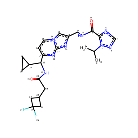 CC(C)n1ncnc1C(=O)NCc1cn2ccc(C(NC(=O)CC3CC(F)(F)C3)C3CC3)nc2n1